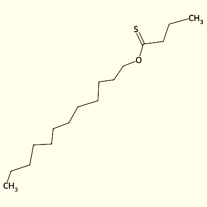 CCCCCCCCCCCCOC(=S)CCC